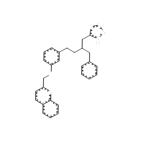 c1ccc(CC(CCc2cccc(OCc3ccc4ccccc4n3)c2)Cc2nnn[nH]2)cc1